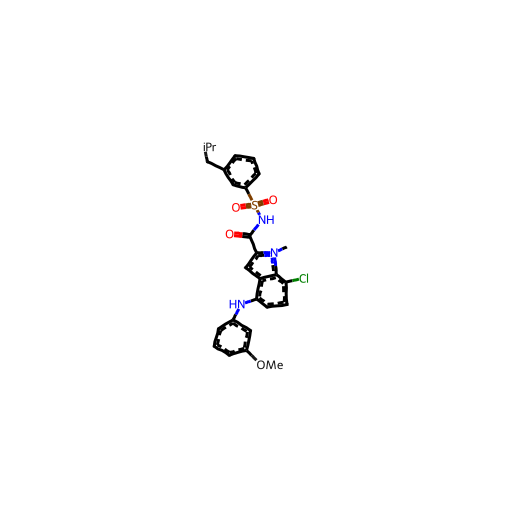 COc1cccc(Nc2ccc(Cl)c3c2cc(C(=O)NS(=O)(=O)c2cccc(CC(C)C)c2)n3C)c1